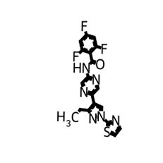 CCc1nn(-c2nccs2)cc1-c1cnc(NC(=O)c2c(F)cc(F)cc2F)cn1